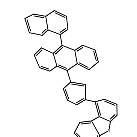 c1cc(-c2c3ccccc3c(-c3cccc4ccccc34)c3ccccc23)cc(-c2cccc3sc4ccccc4c23)c1